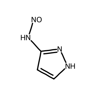 O=NNc1cc[nH]n1